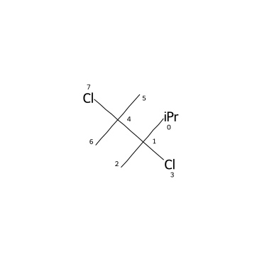 CC(C)C(C)(Cl)C(C)(C)Cl